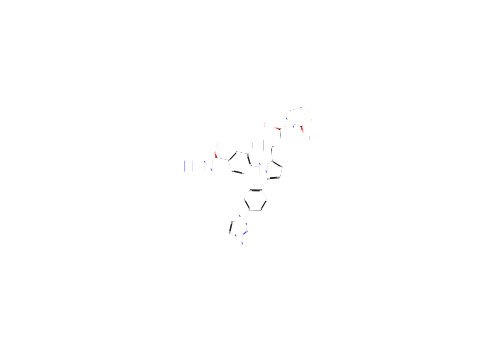 Cc1cc(C(N)=O)ccc1-n1c(CCC(=O)N2CCSC2=O)ccc1-c1ccc(-n2ccnc2)cc1